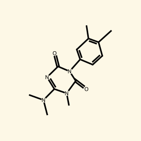 Cc1ccc(-n2c(=O)nc(N(C)C)n(C)c2=O)cc1C